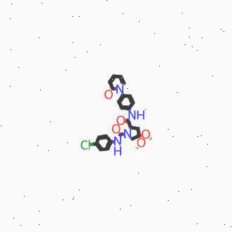 COC1(OC)CC(C(=O)Nc2ccc(-n3ccccc3=O)cc2)N(C(=O)Nc2ccc(Cl)cc2)C1